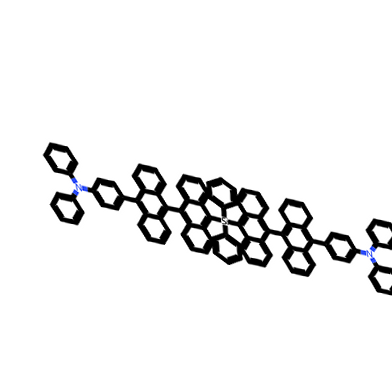 C1=CCc2c(c(-c3ccc(N(c4ccccc4)c4ccccc4)cc3)c3ccccc3c2-c2c3ccccc3c([Si](c3ccccc3)(c3ccccc3)c3c4ccccc4c(-c4c5ccccc5c(-c5ccc(N(c6ccccc6)c6ccccc6)cc5)c5ccccc45)c4ccccc34)c3ccccc23)C1